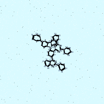 c1ccc(-c2ccc3c(c2)c2ccccc2n3-c2ccc(-c3nc(-c4ccccc4)nc4ccccc34)cc2-c2nc(-c3ccccc3)nc(-c3ccccc3)n2)cc1